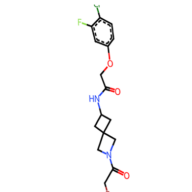 O=C(COc1ccc(Cl)c(F)c1)NC1CC2(C1)CN(C(=O)CBr)C2